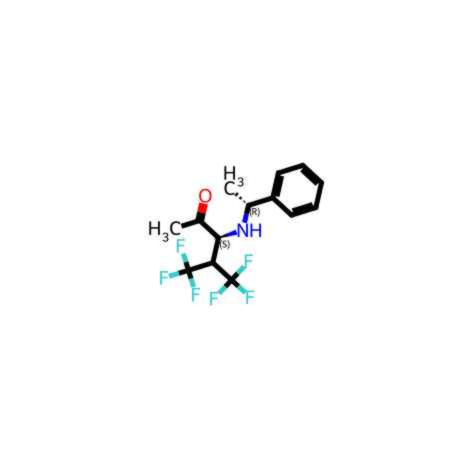 CC(=O)[C@@H](N[C@H](C)c1ccccc1)C(C(F)(F)F)C(F)(F)F